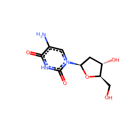 Nc1cn([C@H]2C[C@H](O)[C@@H](CO)O2)c(=O)[nH]c1=O